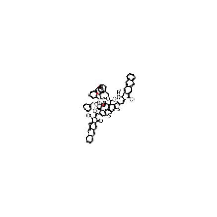 O=C1C(=CC2=Cc3sc4c(c3C2(C(=O)OCc2ccccc2)C(=O)OCc2ccccc2)C(C(=O)OCc2ccccc2)(C(=O)OCc2ccccc2)c2cc(/C=C3/C(=O)c5cc6cc7ccccc7cc6cc5C3O)sc2-4)C(=O)c2cc3cc4ccccc4cc3cc21